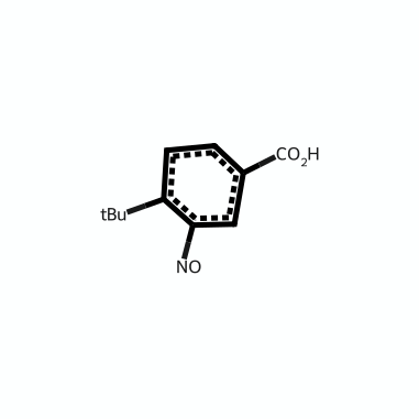 CC(C)(C)c1ccc(C(=O)O)cc1N=O